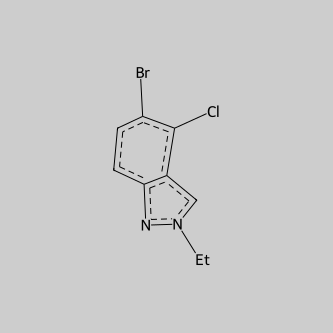 CCn1cc2c(Cl)c(Br)ccc2n1